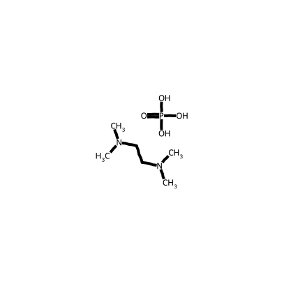 CN(C)CCN(C)C.O=P(O)(O)O